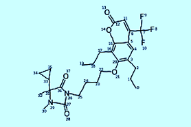 CCCc1cc2c(C(F)(F)F)cc(=O)oc2c(CCC)c1OCCCCN1C(=O)N(C)C(C)(C2CC2)C1=O